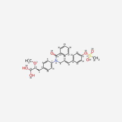 CO[C@@H](Cc1ccc(N(C/C=C/c2ccc(OS(C)(=O)=O)cc2)C(=O)c2ccccc2)cc1)C(O)O